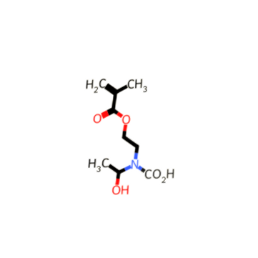 C=C(C)C(=O)OCCN(C(=O)O)C(C)O